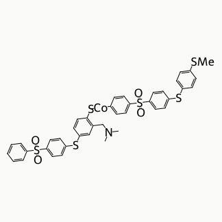 CSc1ccc(Sc2ccc(S(=O)(=O)c3cc[c]([Co][S]c4ccc(Sc5ccc(S(=O)(=O)c6ccccc6)cc5)cc4CN(C)C)cc3)cc2)cc1